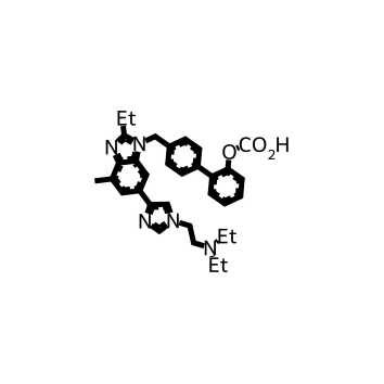 CCc1nc2c(C)cc(-c3cn(CCN(CC)CC)cn3)cc2n1Cc1ccc(-c2ccccc2OC(=O)O)cc1